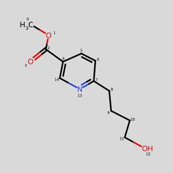 COC(=O)c1ccc(CCCCO)nc1